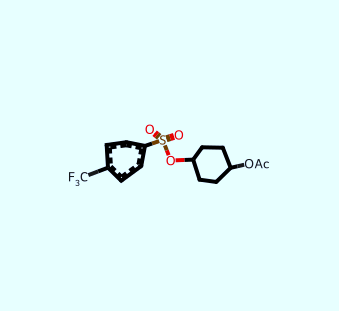 CC(=O)OC1CCC(OS(=O)(=O)c2ccc(C(F)(F)F)cc2)CC1